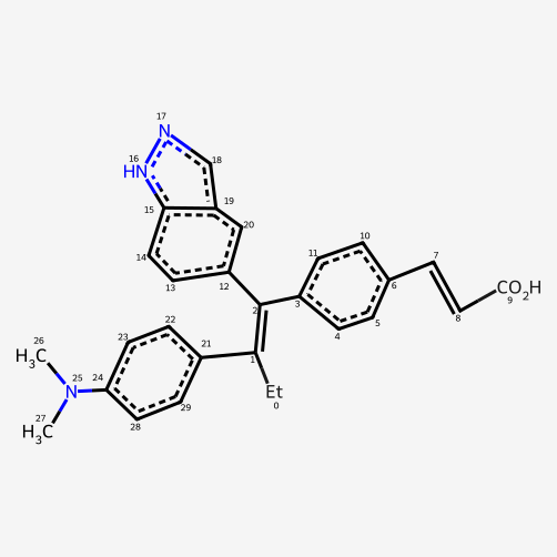 CCC(=C(c1ccc(C=CC(=O)O)cc1)c1ccc2[nH]ncc2c1)c1ccc(N(C)C)cc1